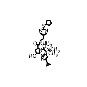 CC(C)(C)[C@@H](C(=O)N1CC(O)CC1C(=O)NCCc1cnc(SC2CCCC2)nc1)n1cc(C2CC2)nn1